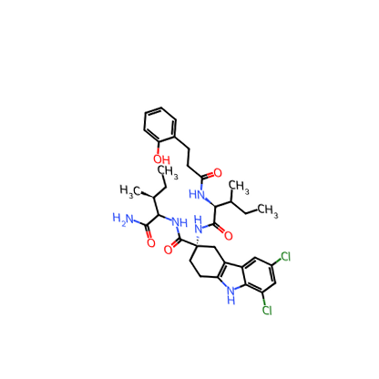 CCC(C)[C@H](NC(=O)CCc1ccccc1O)C(=O)N[C@@]1(C(=O)NC(C(N)=O)[C@@H](C)CC)CCc2[nH]c3c(Cl)cc(Cl)cc3c2C1